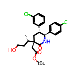 C[C@@H](CCO)[C@]1(CC(=O)OC(C)(C)C)C[C@H](c2cccc(Cl)c2)[C@@H](c2ccc(Cl)cc2)NC1=O